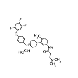 Cc1ccc(NC(=O)CCN(C)C)cc1C1CCN(Cc2ccc(Oc3cc(F)c(F)cc3F)cc2)CC1.Cl.Cl